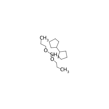 C1CCC(C2CCCC2)C1.CCCO[SiH2]OCCC